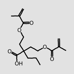 C=C(C)C(=O)OCCC(CCC)(CCOC(=O)C(=C)C)C(=O)O